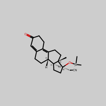 C[C@]12CCC3=C4CCC(=O)C=C4CC[C@H]3[C@@H]1CC[C@]2(CC#N)O[Si](C)(C)C